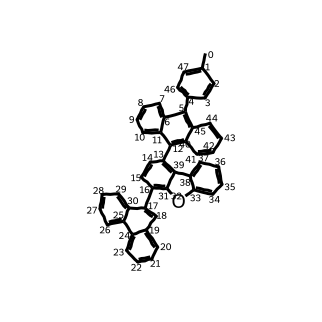 Cc1ccc(-c2c3ccccc3c(-c3ccc(-c4cc5ccccc5c5ccccc45)c4oc5ccccc5c34)c3ccccc23)cc1